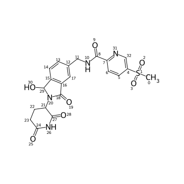 CS(=O)(=O)c1ccc(C(=O)NCc2ccc3c(c2)C(=O)N(C2CCC(=O)NC2=O)C3O)nc1